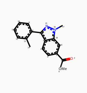 COC(=O)c1ccc2c(-c3ccccc3C)nn(C)c2c1